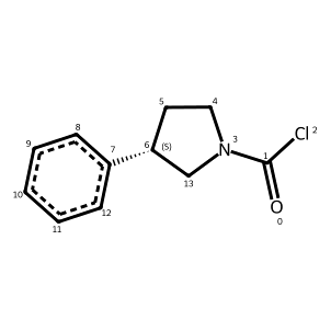 O=C(Cl)N1CC[C@@H](c2ccccc2)C1